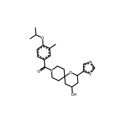 Cc1cc(C(=O)N2CCC3(CC2)CC(O)CC(c2cncs2)O3)ccc1OC(C)C